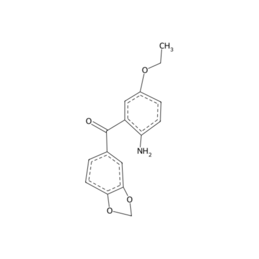 CCOc1ccc(N)c(C(=O)c2ccc3c(c2)OCO3)c1